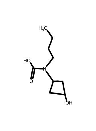 CCCCN(C(=O)O)C1CC(O)C1